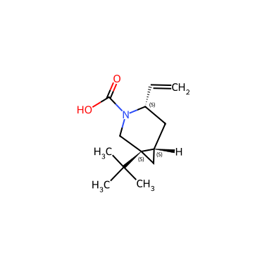 C=C[C@@H]1C[C@@H]2C[C@]2(C(C)(C)C)CN1C(=O)O